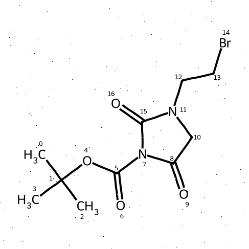 CC(C)(C)OC(=O)N1C(=O)CN(CCBr)C1=O